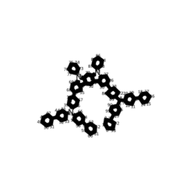 c1ccc(-c2ccc(C(c3ccc(-c4ccccc4)cc3)c3ccc(-c4ccc5c(c4)c4cc6c7cc(-c8ccc(N(c9ccc(-c%10ccccc%10)cc9)c9ccc(-c%10ccccc%10)cc9)cc8)ccc7n(-c7ccccc7)c6cc4n5-c4ccccc4)cc3)cc2)cc1